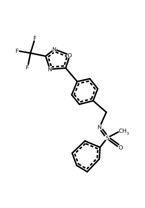 CS(=O)(=NCc1ccc(-c2nc(C(F)(F)F)no2)cc1)c1ccccc1